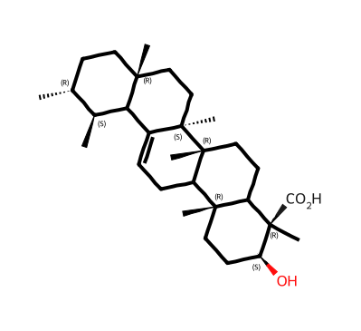 C[C@@H]1CC[C@]2(C)CC[C@]3(C)C(=CCC4[C@@]5(C)CC[C@H](O)[C@](C)(C(=O)O)C5CC[C@]43C)C2[C@H]1C